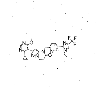 CCn1cc(C(F)(F)F)nc1-c1ccc(CN2C(=O)CCn3nc(-c4c(OC)ncnc4C4CC4)cc32)nc1